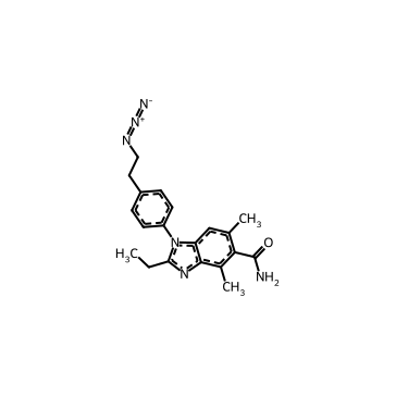 CCc1nc2c(C)c(C(N)=O)c(C)cc2n1-c1ccc(CCN=[N+]=[N-])cc1